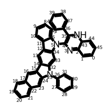 C1=CC2=NC(n3c4ccccc4c4cc5c6cc7ccccc7cc6n(-c6ccccc6)c5cc43)=C(c3ccccc3)NC2C=C1